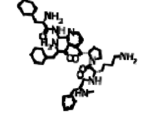 CN[C@@H](Cc1ccccc1)C(=O)N[C@@H](CCCCN)C(=O)N1CCC[C@H]1C(=O)c1ccnc(CNC(=O)[C@@H](N)CC2CCCCC2)c1C(=O)[C@H](N)CC1CCCCC1